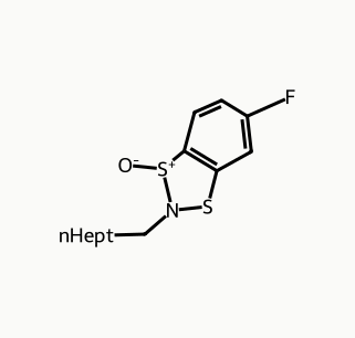 CCCCCCCCN1Sc2cc(F)ccc2[S+]1[O-]